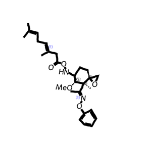 CO[C@@H]1C(NOC(=O)C/C(C)=C/CC=C(C)C)CC[C@]2(CO2)[C@@]1(C)/C(C)=N/Oc1ccccc1